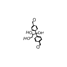 O=Cc1ccc(C(O)(c2ccc(C=O)cc2)C(O)CO)cc1